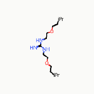 CC(C)CCOCCNC(=N)NCCOCCC(C)C